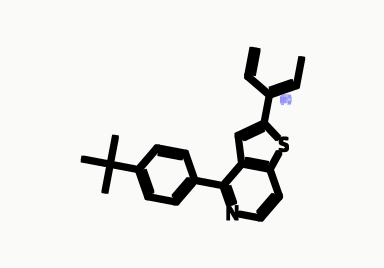 C=C/C(=C\C)c1cc2c(-c3ccc(C(C)(C)C)cc3)nccc2s1